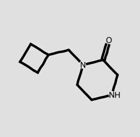 O=C1CNCCN1CC1CCC1